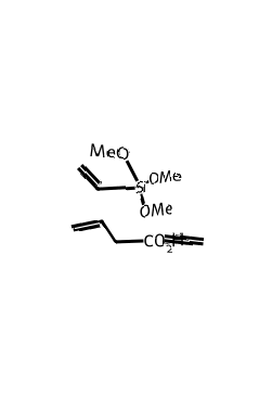 C=C.C=CCC(=O)O.C=C[Si](OC)(OC)OC